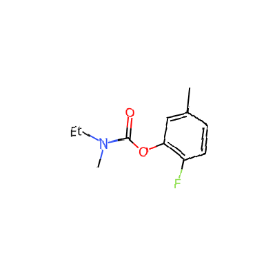 CCN(C)C(=O)Oc1cc(C)ccc1F